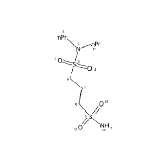 CCCN(CCC)S(=O)(=O)CCCS(N)(=O)=O